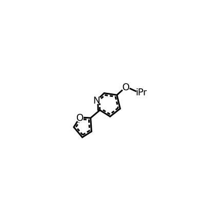 CC(C)Oc1ccc(-c2ccco2)nc1